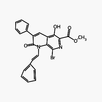 COC(=O)c1nc(Br)c2c(cc(-c3ccccc3)c(=O)n2C=Cc2ccccc2)c1O